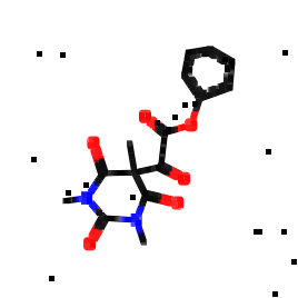 CN1C(=O)N(C)C(=O)C(C)(C(=O)C(=O)Oc2ccccc2)C1=O